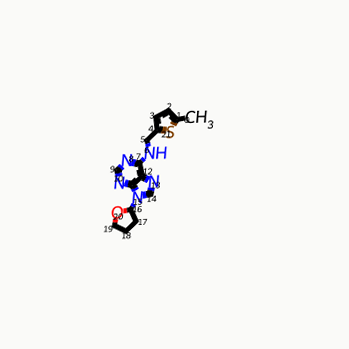 Cc1ccc(CNc2ncnc3c2ncn3C2CCCO2)s1